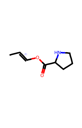 C/C=C/OC(=O)C1CCCN1